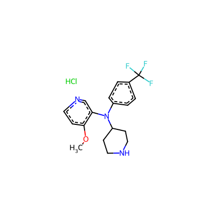 COc1ccncc1N(c1ccc(C(F)(F)F)cc1)C1CCNCC1.Cl